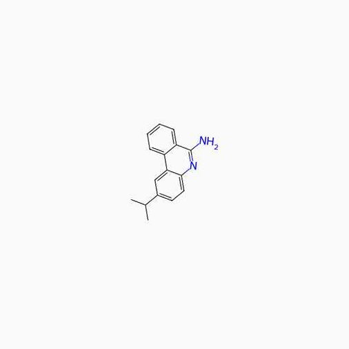 CC(C)c1ccc2nc(N)c3ccccc3c2c1